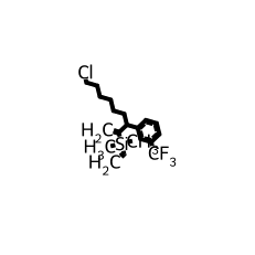 C=C[Si](C)(C)C(=C)C(CCCCCCCl)c1cccc(C(F)(F)F)c1